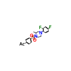 CC(=O)c1ccc(S(=O)(=O)N2CCN(c3ccc(F)cc3F)CC2C)cc1